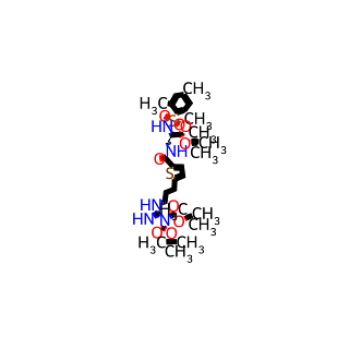 Cc1cc(C)c(S(=O)(=O)N[C@@H](CNC(=O)c2ccc(CCCNC(=N)N(C(=O)OC(C)(C)C)C(=O)OC(C)(C)C)s2)C(=O)OC(C)(C)C)c(C)c1